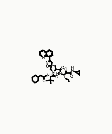 CCC[C@H](NC(=O)[C@@H]1C[C@]2(CC(c3cccc4cccnc34)=NO2)CN1C(=O)[C@@H](NC(=O)CC1CCCCC1)C(C)(C)C)C(=O)C(=O)NC1CC1